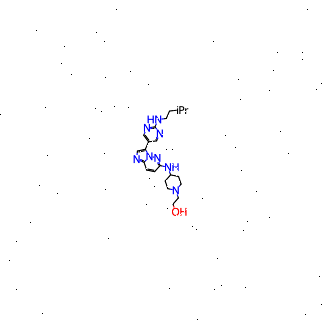 CC(C)CCNc1ncc(-c2cnc3ccc(NC4CCN(CCO)CC4)nn23)cn1